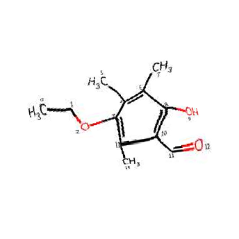 CCOc1c(C)c(C)c(O)c(C=O)c1C